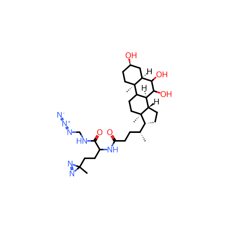 C[C@H](CCC(=O)NC(CCC1(C)N=N1)C(=O)NCN=[N+]=[N-])[C@H]1CC[C@H]2[C@@H]3C(O)C(O)[C@@H]4C[C@H](O)CC[C@]4(C)C3CC[C@]12C